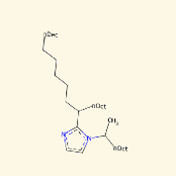 CCCCCCCCCCCCCCCC(CCCCCCCC)c1nccn1C(C)CCCCCCCC